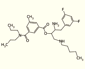 CCCCCNCC(OC(=O)c1cc(C)cc(C(=O)N(CCC)CCC)c1)C(N)Cc1cc(F)cc(F)c1